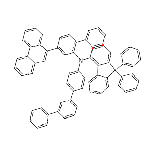 c1ccc(-c2cccc(-c3ccc(N(c4cc(-c5cc6ccccc6c6ccccc56)ccc4-c4ccccc4)c4cccc5c4-c4ccccc4C5(c4ccccc4)c4ccccc4)cc3)c2)cc1